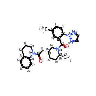 Cc1ccc(-n2nccn2)c(C(=O)N2C[C@@H](CC(=O)N3CCCc4ccccc43)CC[C@@H]2C)c1